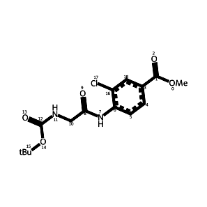 COC(=O)c1ccc(NC(=O)CNC(=O)OC(C)(C)C)c(Cl)c1